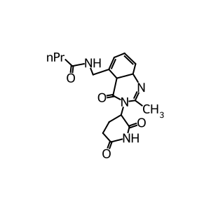 CCCC(=O)NCC1=CC=CC2N=C(C)N(C3CCC(=O)NC3=O)C(=O)C12